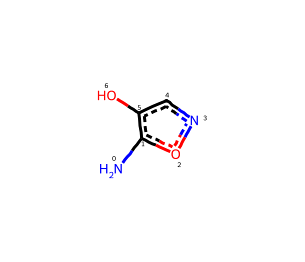 Nc1oncc1O